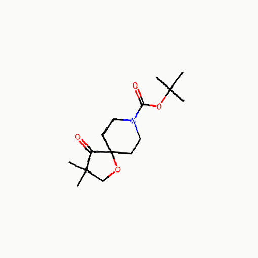 CC(C)(C)OC(=O)N1CCC2(CC1)OCC(C)(C)C2=O